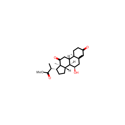 COC(=O)C(C)[C@H]1CC[C@H]2[C@@H]3[C@H](O)CC4=CC(=O)CC[C@]4(C)[C@H]3CC(=O)[C@]12C